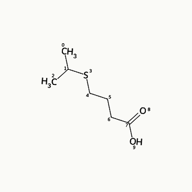 CC(C)SCCCC(=O)O